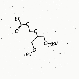 CCC(=O)OCOC(COC(C)(C)C)COC(C)(C)C